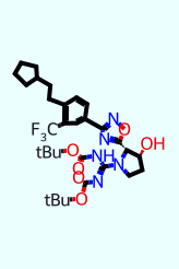 CC(C)(C)OC(=O)/N=C(\NC(=O)OC(C)(C)C)N1CC[C@H](O)[C@H]1c1nc(-c2ccc(CCC3CCCC3)c(C(F)(F)F)c2)no1